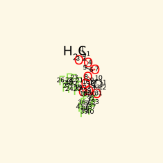 C=CC(=O)OCC(=O)OC1C2CCC(C2)C1(OC(=O)C(F)(F)C(F)(F)C(F)(F)F)OC(=O)C(F)(F)C(F)(F)C(F)(F)F